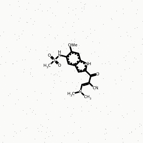 COc1cc2[nH]c(C(=O)C(C#N)=CN(C)C)cc2cc1NS(C)(=O)=O